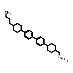 CCCCC1CCC(c2ccc(-c3ccc(C4CCC(COC)CC4)cc3)cc2)CC1